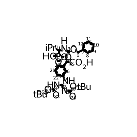 CC(C)C(NC(=O)OCc1ccccc1)P(=O)(O)OC(C(=O)O)c1cccc(NC(=NC(=O)OC(C)(C)C)NC(=O)OC(C)(C)C)c1